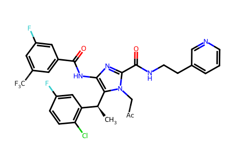 CC(=O)Cn1c(C(=O)NCCc2cccnc2)nc(NC(=O)c2cc(F)cc(C(F)(F)F)c2)c1[C@@H](C)c1cc(F)ccc1Cl